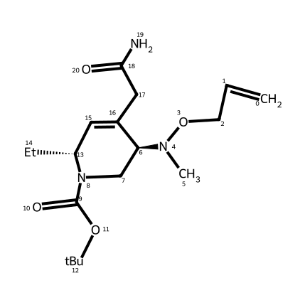 C=CCON(C)[C@H]1CN(C(=O)OC(C)(C)C)[C@H](CC)C=C1CC(N)=O